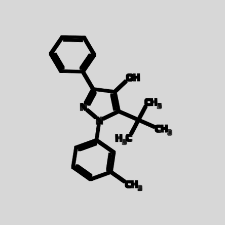 Cc1cccc(-n2nc(-c3ccccc3)c(O)c2C(C)(C)C)c1